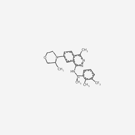 Cc1c([C@@H](C)Nc2nnc(C)c3ccc(N4CCOCC4C)cc23)cccc1C(F)(F)F